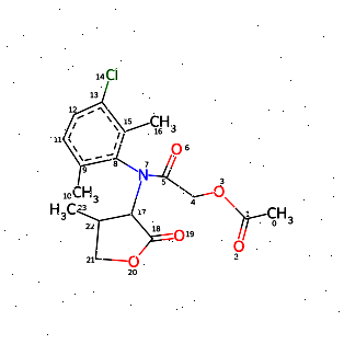 CC(=O)OCC(=O)N(c1c(C)ccc(Cl)c1C)C1C(=O)OCC1C